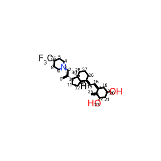 C=C(CN1CCC(C(F)(F)F)CC1)[C@H]1CC[C@H]2/C(=C/C=C3/C[C@@H](O)C[C@H](O)C3=C)CCC[C@]12C